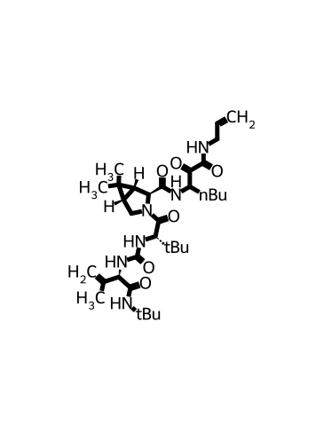 C=CCNC(=O)C(=O)C(CCCC)NC(=O)[C@@H]1[C@@H]2[C@H](CN1C(=O)[C@@H](NC(=O)N[C@@H](C(=C)C)C(=O)NC(C)(C)C)C(C)(C)C)C2(C)C